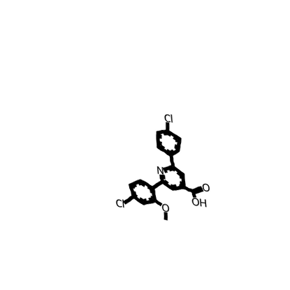 COc1cc(Cl)ccc1-c1cc(C(=O)O)cc(-c2ccc(Cl)cc2)n1